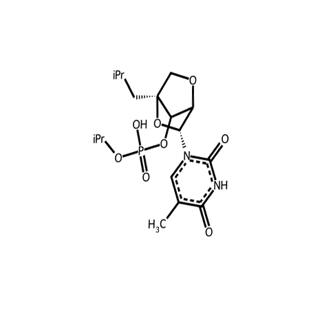 Cc1cn([C@@H]2O[C@@]3(CC(C)C)COC2C3OP(=O)(O)OC(C)C)c(=O)[nH]c1=O